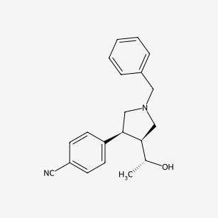 C[C@@H](O)[C@@H]1CN(Cc2ccccc2)C[C@@H]1c1ccc(C#N)cc1